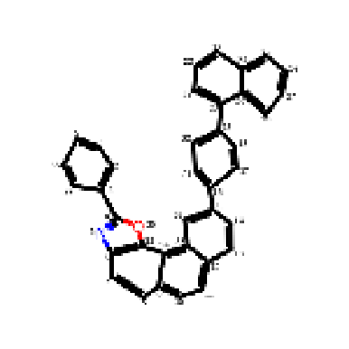 c1ccc(-c2nc3ccc4ccc5ccc(-c6ccc(-c7cccc8ccccc78)cc6)cc5c4c3o2)cc1